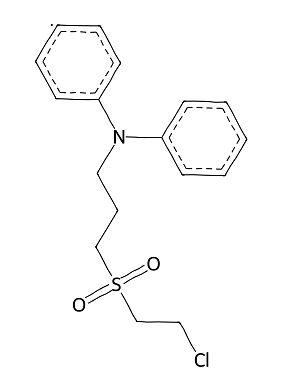 O=S(=O)(CCCl)CCCN(c1cc[c]cc1)c1ccccc1